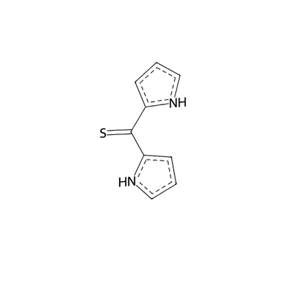 S=C(c1ccc[nH]1)c1ccc[nH]1